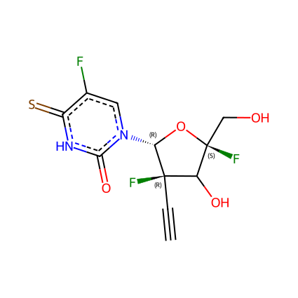 C#C[C@@]1(F)C(O)[C@@](F)(CO)O[C@H]1n1cc(F)c(=S)[nH]c1=O